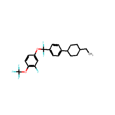 CCC1CCC(c2ccc(C(F)(F)Oc3ccc(OC(F)(F)F)c(F)c3)cc2)CC1